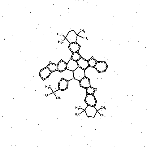 CC(C)(C)c1ccc(N2B3c4cc5c(cc4-n4c6cc7c(cc6c6c8oc9ccccc9c8c(c3c64)-c3cc4oc6cc8c(cc6c4cc32)C(C)(C)CCC8(C)C)C(C)(C)CCC7(C)C)oc2ccccc25)cc1